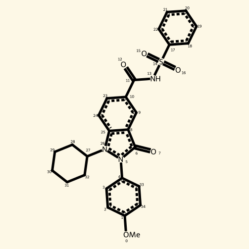 COc1ccc(-n2c(=O)c3cc(C(=O)NS(=O)(=O)c4ccccc4)ccc3n2C2CCCCC2)cc1